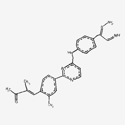 CC(=O)/C(C)=C/c1ccc(-c2nccc(Nc3ccc(/C(C=N)=N/N)cc3)n2)cc1C